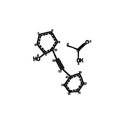 CC(=O)O.Oc1ccccc1C#Cc1ccccc1